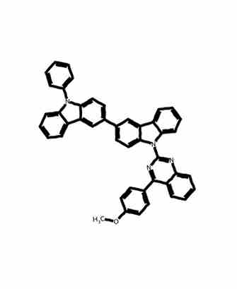 COc1ccc(-c2nc(-n3c4ccccc4c4cc(-c5ccc6c(c5)c5ccccc5n6-c5ccccc5)ccc43)nc3ccccc23)cc1